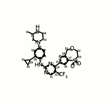 CC1CN(c2ccc(Nc3ncc(C(F)(F)F)c(-c4cc5c(s4)COCCS5(=O)=O)n3)c(C3CC3)c2)CCN1